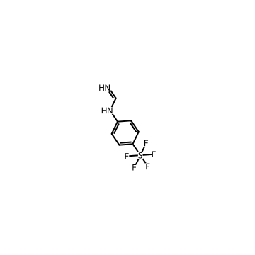 N=CNc1ccc(S(F)(F)(F)(F)F)cc1